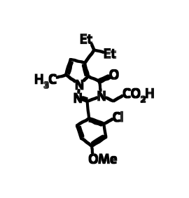 CCC(CC)c1cc(C)n2nc(-c3ccc(OC)cc3Cl)n(CC(=O)O)c(=O)c12